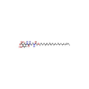 CCC=CCC=CCC=CCC=CCC=CCCCCOCC(=O)NCCNC(=O)Nc1ccc(O)c(C(=O)O)c1